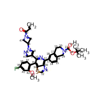 C=CC(=O)N1CC(n2cc(-c3nc(-c4ccc5c(c4)CCN(C(=O)OC(C)(C)C)C5)c4ncsc4c3-c3ccc(F)cc3OC)cn2)C1